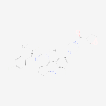 CN(c1nc(-c2ccc(F)cc2)c(C#N)s1)c1c2c(nc3c(F)cc(N4CCN(C(=O)[C@H]5CCOC5)CC4)cc13)CCC2